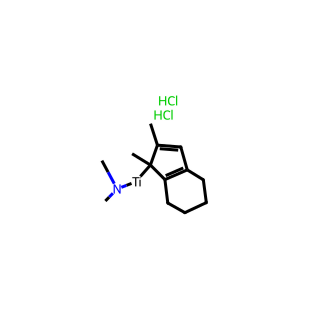 CC1=CC2=C(CCCC2)[C]1(C)[Ti][N](C)C.Cl.Cl